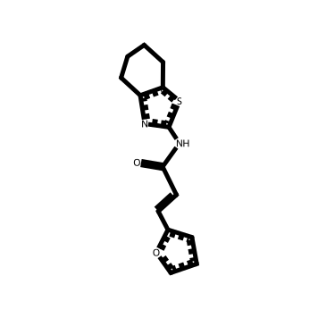 O=C(/C=C/c1ccco1)Nc1nc2c(s1)CCCC2